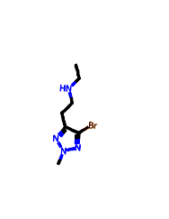 CCNCCc1nn(C)nc1Br